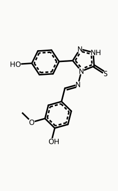 COc1cc(C=Nn2c(-c3ccc(O)cc3)n[nH]c2=S)ccc1O